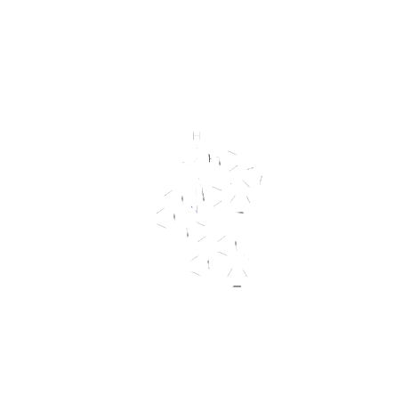 c1ccc(C2(c3ccccc3)c3ccccc3C3(c4cc(N(c5ccc(-c6ccccc6-c6cccc7sc8ccccc8c67)cc5)c5cccc6ccccc56)ccc42)[C@H]2C[C@H]4C[C@H](C[C@H]3C4)C2)cc1